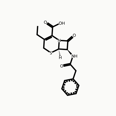 CCC1=C(C(=O)O)N2C(=O)[C@@H](NC(=O)Cc3ccccc3)[C@H]2SC1